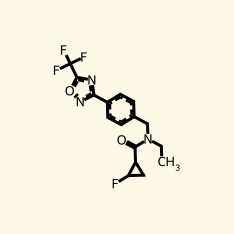 CCN(Cc1ccc(-c2noc(C(F)(F)F)n2)cc1)C(=O)C1CC1F